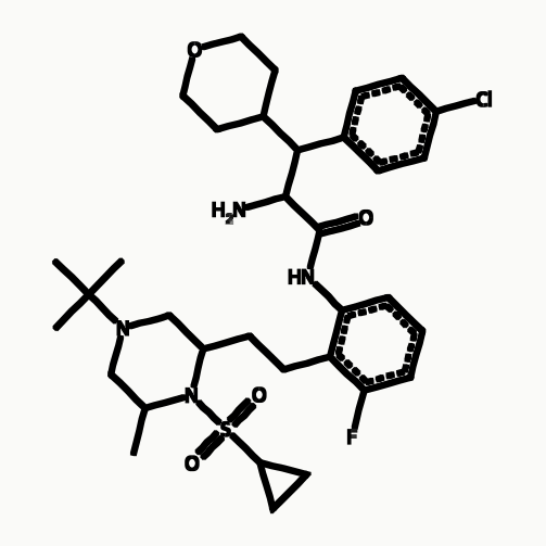 CC1CN(C(C)(C)C)CC(CCc2c(F)cccc2NC(=O)C(N)C(c2ccc(Cl)cc2)C2CCOCC2)N1S(=O)(=O)C1CC1